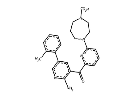 Cc1ccccc1-c1cnc(N)c(C(=O)c2cccc(N3CCCN(C(=O)O)CC3)n2)c1